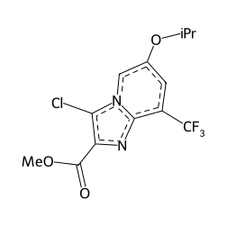 COC(=O)c1nc2c(C(F)(F)F)cc(OC(C)C)cn2c1Cl